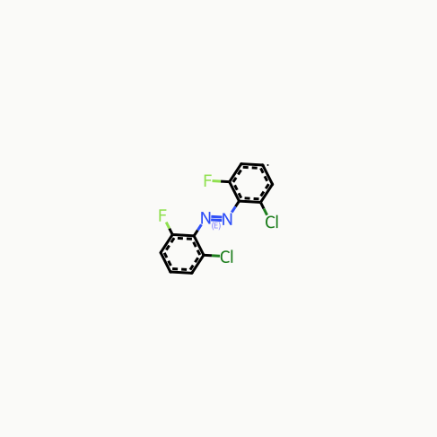 Fc1c[c]cc(Cl)c1/N=N/c1c(F)cccc1Cl